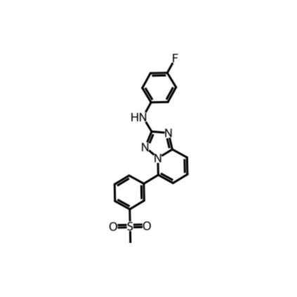 CS(=O)(=O)c1cccc(-c2cccc3nc(Nc4ccc(F)cc4)nn23)c1